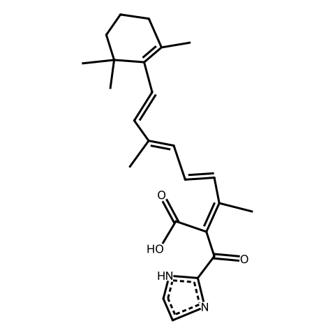 CC(C=CC1=C(C)CCCC1(C)C)=CC=CC(C)=C(C(=O)O)C(=O)c1ncc[nH]1